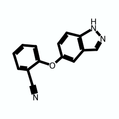 N#Cc1ccccc1Oc1ccc2[nH]ncc2c1